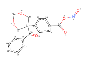 O=NOC(=O)c1ccc(C2(C(=O)c3ccccc3)COCOC2)cc1